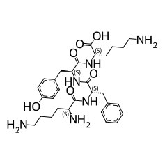 NCCCC[C@H](NC(=O)[C@H](Cc1ccc(O)cc1)NC(=O)[C@H](Cc1ccccc1)NC(=O)[C@@H](N)CCCCN)C(=O)O